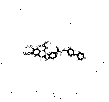 COc1cc(Nc2nc3ccc(C(=O)NCc4ccc(-c5ccccc5)cc4)cc3n2CCCN)cc(OC)c1OC